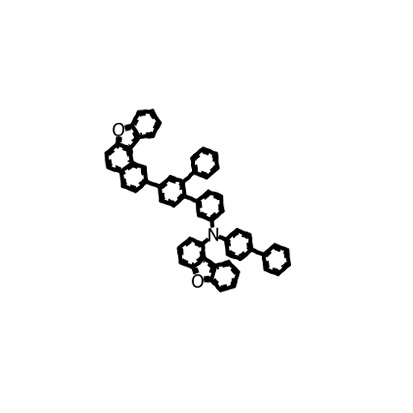 c1ccc(-c2ccc(N(c3cccc(-c4ccc(-c5ccc6ccc7oc8ccccc8c7c6c5)cc4-c4ccccc4)c3)c3cccc4oc5ccccc5c34)cc2)cc1